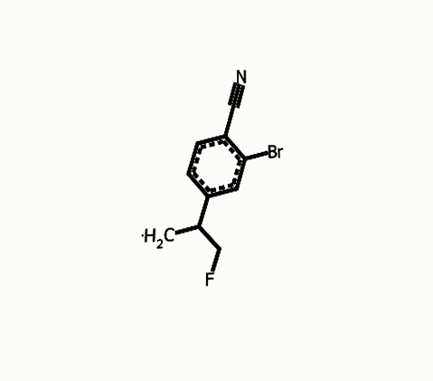 [CH2]C(CF)c1ccc(C#N)c(Br)c1